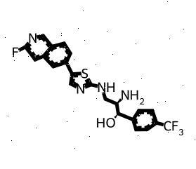 N[C@H](CNc1ncc(-c2ccc3cnc(F)cc3c2)s1)[C@@H](O)c1ccc(C(F)(F)F)cc1